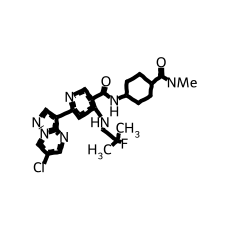 CNC(=O)C1CCC(NC(=O)c2cnc(-c3cnn4cc(Cl)cnc34)cc2NCC(C)(C)F)CC1